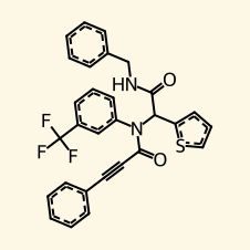 O=C(NCc1ccccc1)C(c1cccs1)N(C(=O)C#Cc1ccccc1)c1cccc(C(F)(F)F)c1